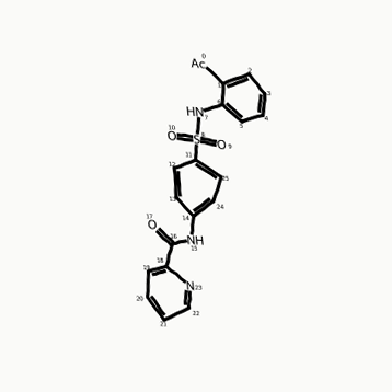 CC(=O)c1ccccc1NS(=O)(=O)c1ccc(NC(=O)c2ccccn2)cc1